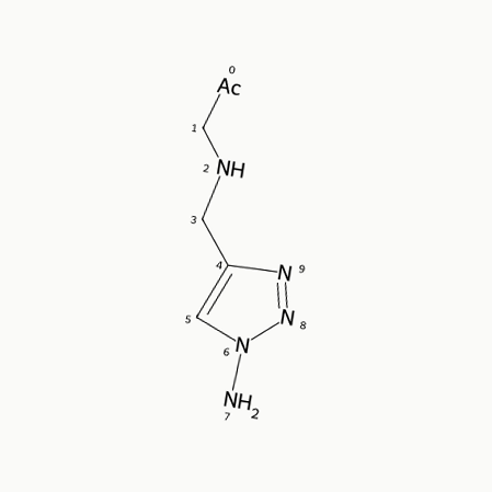 CC(=O)CNCc1cn(N)nn1